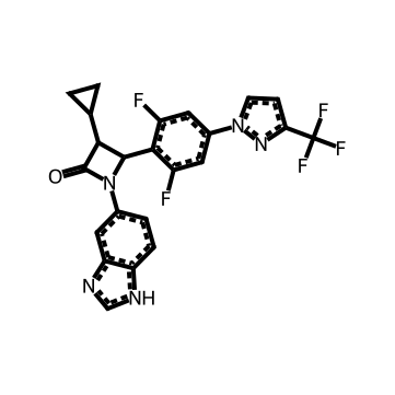 O=C1C(C2CC2)C(c2c(F)cc(-n3ccc(C(F)(F)F)n3)cc2F)N1c1ccc2[nH]cnc2c1